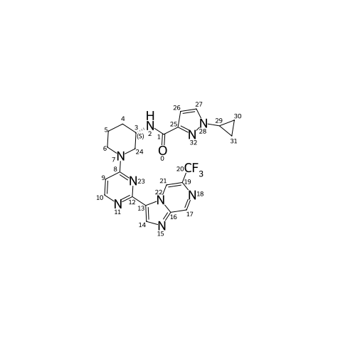 O=C(N[C@H]1CCCN(c2ccnc(-c3cnc4cnc(C(F)(F)F)cn34)n2)C1)c1ccn(C2CC2)n1